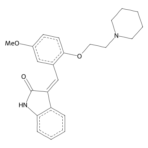 COc1ccc(OCCN2CCCCC2)c(C=C2C(=O)Nc3ccccc32)c1